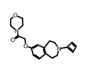 O=C(COc1ccc2c(c1)CCN(C1=CC=C1)CC2)N1CCOCC1